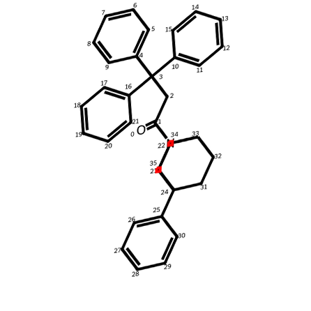 O=C(CC(c1ccccc1)(c1ccccc1)c1ccccc1)N1CC2(c3ccccc3)CCC1CC2